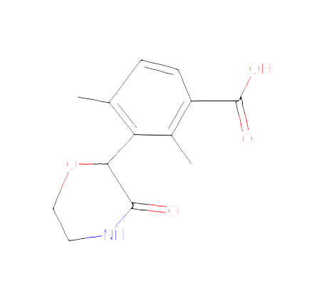 Cc1ccc(C(=O)O)c(C)c1C1OCCNC1=O